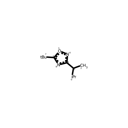 CC(C)C(C)c1noc(C(C)(C)C)n1